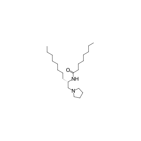 CCCCCCCC[C@@H](CN1CCCC1)NC(=O)CCCCCCC